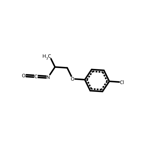 CC(COc1ccc(Cl)cc1)N=C=O